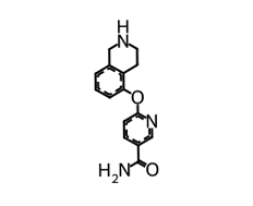 NC(=O)c1ccc(Oc2cccc3c2CCNC3)nc1